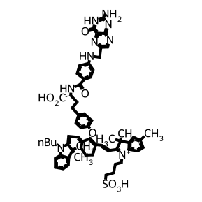 CCCCN1/C(=C/C=C2\CCCC(/C=C/C3=[N+](CCCCS(=O)(=O)O)c4ccc(C)cc4C3(C)C)=C2Oc2ccc(CC[C@@H](NC(=O)c3ccc(NCc4cnc5nc(N)[nH]c(=O)c5n4)cc3)C(=O)O)cc2)C(C)(C)c2ccccc21